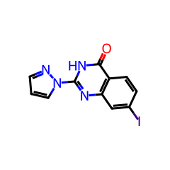 O=c1[nH]c(-n2cccn2)nc2cc(I)ccc12